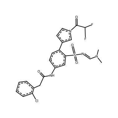 CN(C)/C=N/S(=O)(=O)c1cc(NC(=O)Cc2ccccc2Cl)ccc1-c1ccn(C(=O)C(F)F)c1